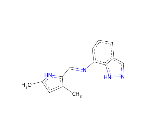 Cc1cc(C)c(C=Nc2cccc3cn[nH]c23)[nH]1